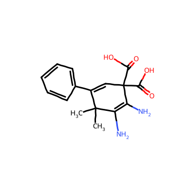 CC1(C)C(c2ccccc2)=CC(C(=O)O)(C(=O)O)C(N)=C1N